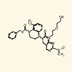 Cc1cccc2c1N(C(=O)OCc1ccccc1)CCN2c1cc2cnc([S+](C)[O-])nc2n(CCOCCO)c1=O